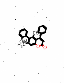 COc1ccccc1-c1c(C)cc2oc(=O)cc(-c3ccccc3)c2c1C